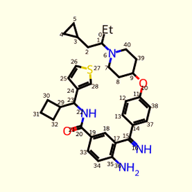 CCC(CC1CC1)N1CCC(Oc2ccc(C(=N)c3cc(C(=O)NC(c4ccsc4)C4CCC4)ccc3N)cc2)CC1